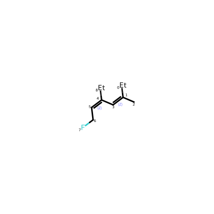 CC/C(C)=C\C(=C/CF)CC